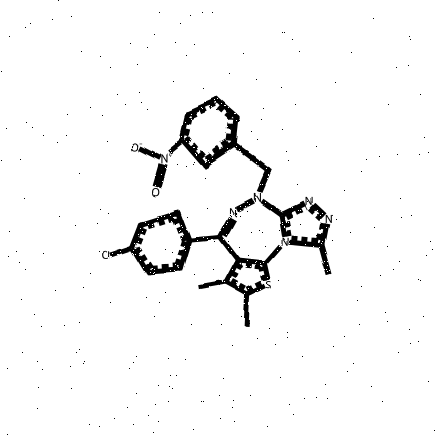 Cc1sc2c(c1C)C(c1ccc(Cl)cc1)=NN(Cc1cccc([N+](=O)[O-])c1)c1nnc(C)n1-2